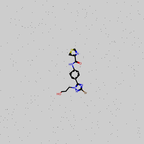 O=C(Nc1ccc(-c2nc(Br)nn2CCCO)cc1)c1cscn1